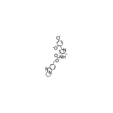 COc1cc(Cl)ccc1-c1nc(C)c(NC(=O)OCc2ccc3c(c2)nc2n3CCC2)s1